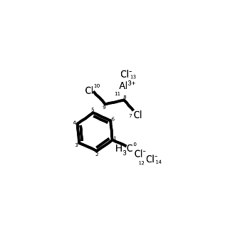 Cc1ccccc1.ClCCCl.[Al+3].[Cl-].[Cl-].[Cl-]